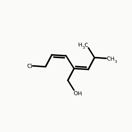 CC(C)/C=C(\C=C/CCl)CO